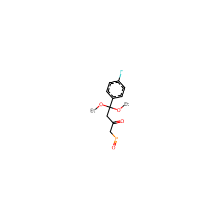 CCOC(CC(=O)CP=O)(OCC)c1ccc(F)cc1